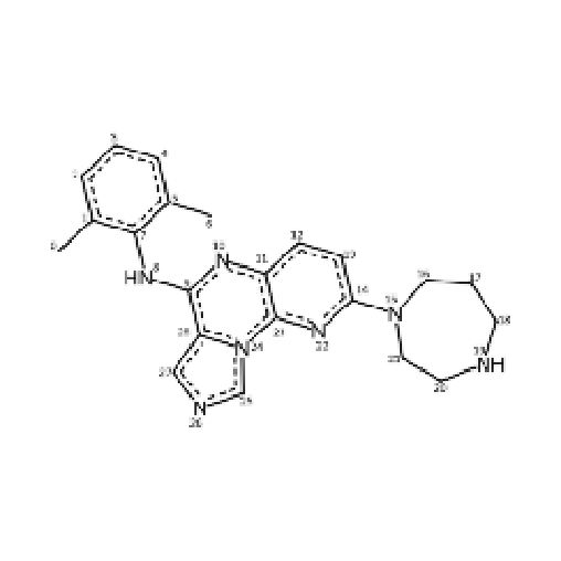 Cc1cccc(C)c1Nc1nc2ccc(N3CCCNCC3)nc2n2cncc12